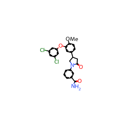 COc1ccc(C2CC(=O)N(c3cccc(C(N)=O)c3)C2)cc1Oc1cc(Cl)cc(Cl)c1